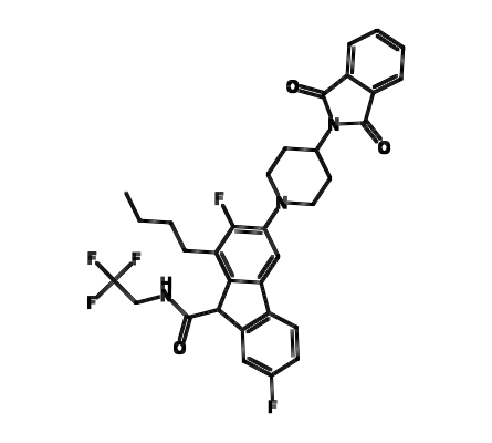 CCCCc1c(F)c(N2CCC(N3C(=O)c4ccccc4C3=O)CC2)cc2c1C(C(=O)NCC(F)(F)F)c1cc(F)ccc1-2